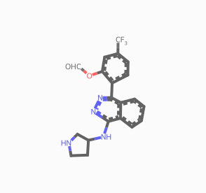 O=COc1cc(C(F)(F)F)ccc1-c1nnc(NC2CCNC2)c2ccccc12